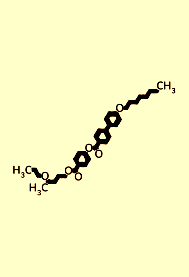 CCCCCCCCOc1ccc(-c2ccc(C(=O)Oc3ccc(C(=O)OCCCC(C)OCCC)cc3)cc2)cc1